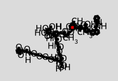 Cc1c(-c2ccc(N3CCc4cccc(C(=O)Nc5nc6ccccc6s5)c4C3)nc2C(=O)O)cnn1CC12CC3(C)CC(C)(C1)CC(OCCN(C)C(=O)OCc1ccc(O[C@@H]4O[C@H](CO)[C@H](O)[C@H](O)[C@@H]4O)c(NC(=O)CCNC(=O)COCCNC(=O)[C@H](CS(=O)(=O)O)NC(=O)CCOCCOCCOCCOCCNC(=O)CCN4C(=O)C=CC4=O)c1)(C3)C2